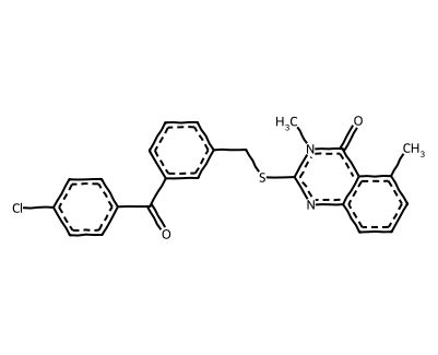 Cc1cccc2nc(SCc3cccc(C(=O)c4ccc(Cl)cc4)c3)n(C)c(=O)c12